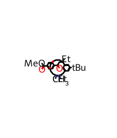 CC/C1=C(\C)CCCCCCCC2(CC)CC(c3ccc(C(=O)OC)cc3)Oc3c(cc(C(C)(C)C)cc32)C1